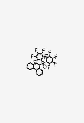 O=P(c1c(F)c(F)c(F)c(F)c1F)(c1c(F)c(F)c(F)c(F)c1F)c1cc2ccccc2c2ccccc12